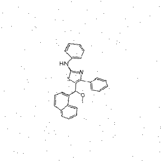 COC(c1sc(Nc2ccccc2)nc1-c1ccccc1)c1cccc2ccccc12